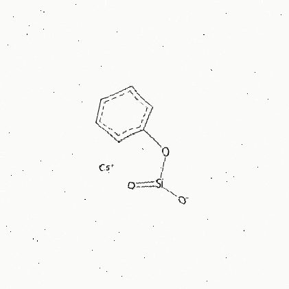 O=[Si]([O-])Oc1ccccc1.[Cs+]